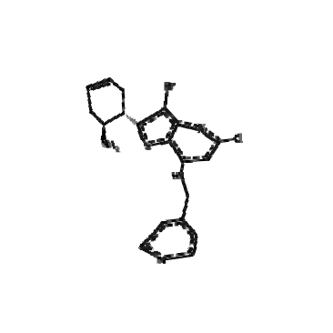 N[C@H]1CC=CC[C@@H]1c1sc2c(NCc3ccncc3)cc(Cl)nc2c1Br